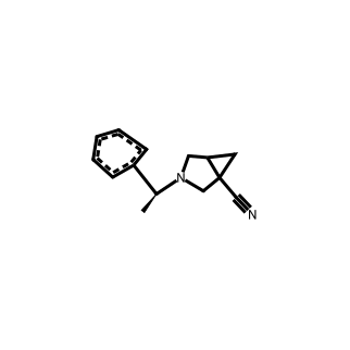 C[C@@H](c1ccccc1)N1CC2CC2(C#N)C1